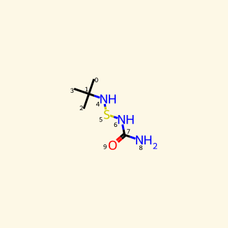 CC(C)(C)NSNC(N)=O